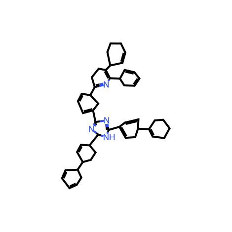 C1=CCC(C2=C(C3C=CCCC3)CCC(C3C=CC=C(C4=NC(C5C=CC(C6C=CC=CC6)CC5)NC(C5=CCC(C6=CCCCC6)C=C5)=N4)C3)=N2)C=C1